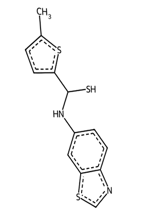 Cc1ccc(C(S)Nc2ccc3ncsc3c2)s1